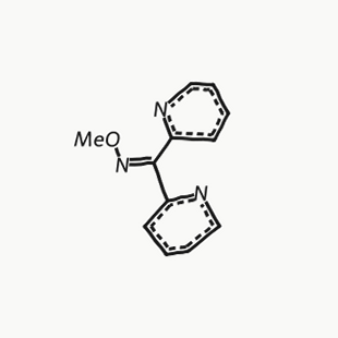 CON=C(c1ccccn1)c1ccccn1